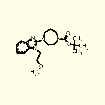 COCCn1c(N2CCCN(C(=O)OC(C)(C)C)CC2)nc2ccccc21